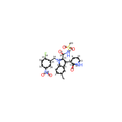 Cc1ccc2c(c1)c(-c1ccc[nH]c1=O)c(C(=O)NS(C)(=O)=O)n2Cc1cc([N+](=O)[O-])ccc1F